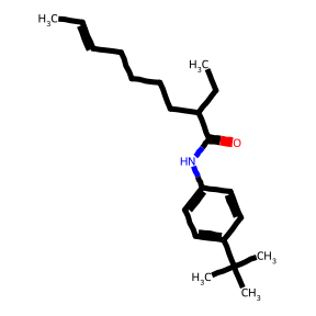 C/C=C/CCCCC(CC)C(=O)Nc1ccc(C(C)(C)C)cc1